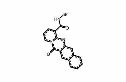 CCCNC(=O)c1cccn2c(=O)c3cc4ccccc4cc3nc12